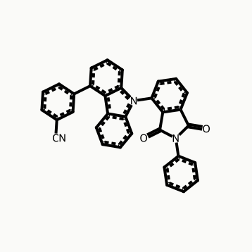 N#Cc1cccc(-c2cccc3c2c2ccccc2n3-c2cccc3c2C(=O)N(c2ccccc2)C3=O)c1